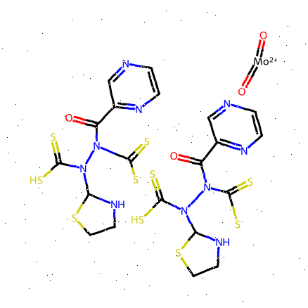 O=C(c1cnccn1)N(C(=S)[S-])N(C(=S)S)C1NCCS1.O=C(c1cnccn1)N(C(=S)[S-])N(C(=S)S)C1NCCS1.[O]=[Mo+2]=[O]